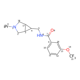 CC(C)N1CC2C(CNC(=O)c3cccc(OC(F)(F)F)c3)C2C1